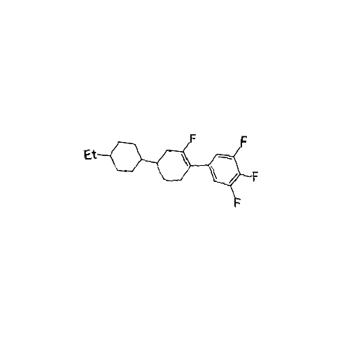 CCC1CCC(C2CCC(c3cc(F)c(F)c(F)c3)=C(F)C2)CC1